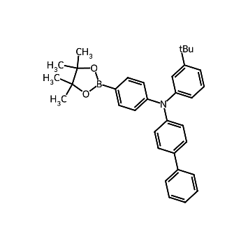 CC(C)(C)c1cccc(N(c2ccc(B3OC(C)(C)C(C)(C)O3)cc2)c2ccc(-c3ccccc3)cc2)c1